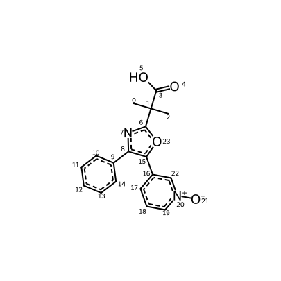 CC(C)(C(=O)O)c1nc(-c2ccccc2)c(-c2ccc[n+]([O-])c2)o1